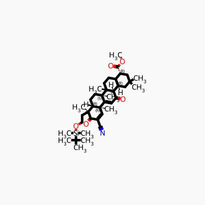 COC(=O)[C@@H]1CC(C)(C)C[C@@H]2C1CC[C@]1(C)[C@@H]2C(=O)C=C2[C@@]3(C)C=C(C#N)C(=O)[C@@](C)(CCO[Si](C)(C)C(C)(C)C)[C@@H]3CC[C@]21C